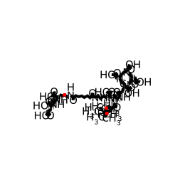 CC(C)(C)[Si](F)(c1ccc(C(=O)NC[C@@H](NC(=O)CC[C@H](C(=O)O)N2CCN(CC(=O)O)CCN(CC(=O)O)CCN(CC(=O)O)CC2)C(=O)N[C@@H](CCCCNC(=O)CCCCCCC(=O)NCCCC[C@H](NC(=O)N[C@@H](CCC(=O)O)C(=O)O)C(=O)O)C(=O)O)cc1)C(C)(C)C